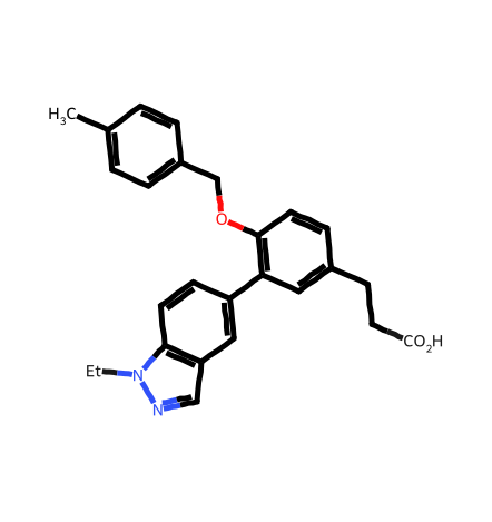 CCn1ncc2cc(-c3cc(CCC(=O)O)ccc3OCc3ccc(C)cc3)ccc21